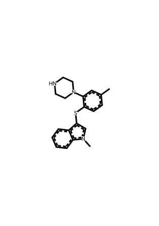 Cc1ccc(Sc2cn(C)c3ccccc23)c(N2CCNCC2)c1